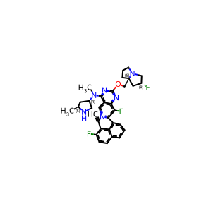 C#Cc1c(F)ccc2cccc(-c3ncc4c(N(C)[C@H]5CN[C@@H](C)C5)nc(OC[C@@]56CCCN5C[C@H](F)C6)nc4c3F)c12